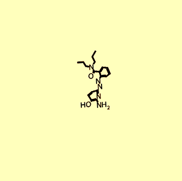 CCCN(CCC)C(=O)c1ccccc1N=Nc1ccc(O)c(N)n1